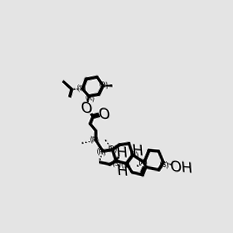 CC(C)[C@@H]1CC[C@@H](C)C[C@H]1OC(=O)CC[C@@H](C)[C@H]1CC[C@H]2[C@@H]3CC=C4C[C@@H](O)CC[C@]4(C)[C@H]3CC[C@]12C